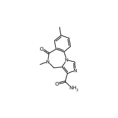 Cc1ccc2c(c1)C(=O)N(C)Cc1c(C(N)=O)ncn1-2